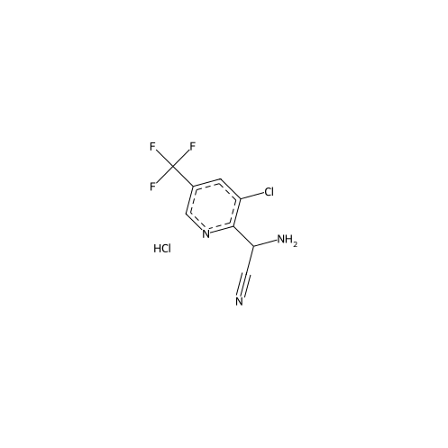 Cl.N#CC(N)c1ncc(C(F)(F)F)cc1Cl